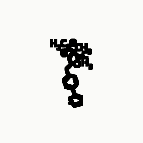 CC(=O)C(C)(CCCc1ccc(-c2cccs2)cc1)S(C)(=O)=O